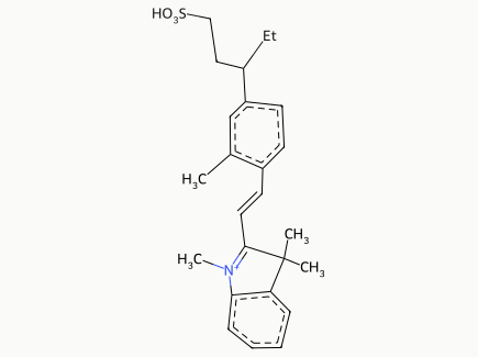 CCC(CCS(=O)(=O)O)c1ccc(C=CC2=[N+](C)c3ccccc3C2(C)C)c(C)c1